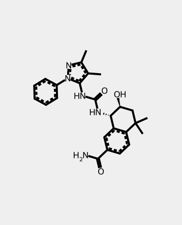 Cc1nn(-c2ccccc2)c(NC(=O)N[C@H]2c3cc(C(N)=O)ccc3C(C)(C)C[C@@H]2O)c1C